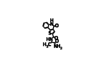 CC(NC(=O)c1cc2c(=O)[nH]c3ccccc3c2s1)C(N)=O